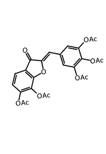 CC(=O)Oc1cc(C=C2Oc3c(ccc(OC(C)=O)c3OC(C)=O)C2=O)cc(OC(C)=O)c1OC(C)=O